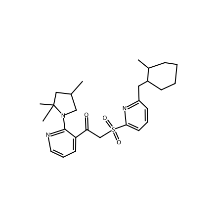 CC1CN(c2ncccc2C(=O)CS(=O)(=O)c2cccc(CC3CCCCC3C)n2)C(C)(C)C1